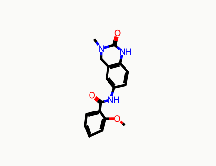 COc1ccccc1C(=O)Nc1ccc2c(c1)CN(C)C(=O)N2